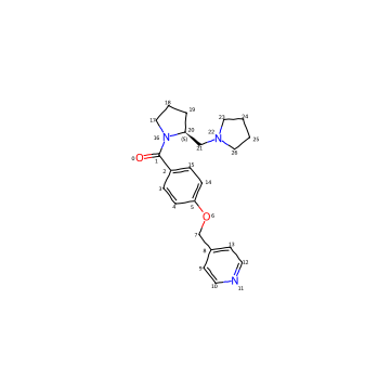 O=C(c1ccc(OCc2ccncc2)cc1)N1CCC[C@H]1CN1CCCC1